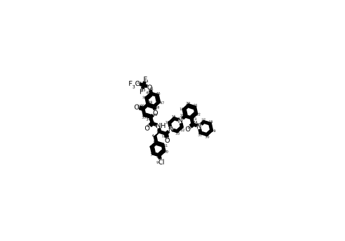 O=C(N[C@H](Cc1ccc(Cl)cc1)C(=O)N1CCN(c2ccccc2C(=O)N2CCCCC2)CC1)c1cc(=O)c2cc(OC(F)(F)C(F)(F)F)ccc2o1